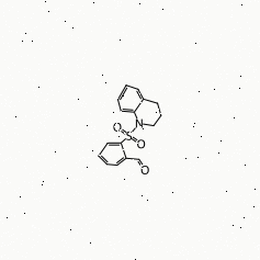 O=Cc1ccccc1S(=O)(=O)N1CCCc2ccccc21